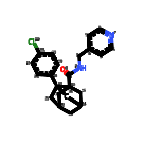 O=C(NCc1ccncc1)C12CC3CC(C1)CC2(c1ccc(Cl)cc1)C3